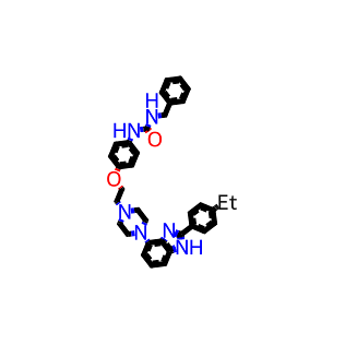 CCc1ccc(-c2nc3c(N4CCN(CCOc5ccc(NC(=O)NCc6ccccc6)cc5)CC4)cccc3[nH]2)cc1